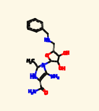 CC1NC(C(N)=O)=C(N)N1C1OC(CNCc2ccccc2)C(O)C1O